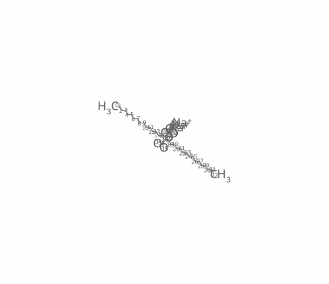 CCCCCCCCCCCCCCCCC(CCCCCCCCCCCCCCCC)C(=O)[O-].O=S(=O)([O-])[O-].[Na+].[Na+].[Na+]